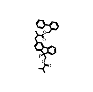 CC(C)C(=O)OCC1(F)c2ccccc2-c2cc(CC(C)C(=O)OCc3ccccc3-c3ccccc3)ccc21